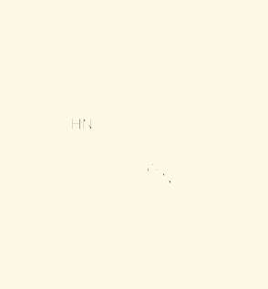 Cc1cc(C2=CCC3CCNCC3C2)on1